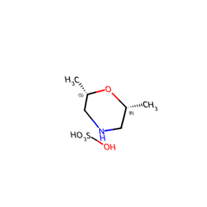 C[C@@H]1CNC[C@H](C)O1.O=S(=O)(O)O